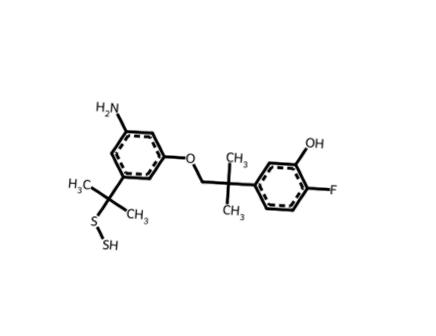 CC(C)(COc1cc(N)cc(C(C)(C)SS)c1)c1ccc(F)c(O)c1